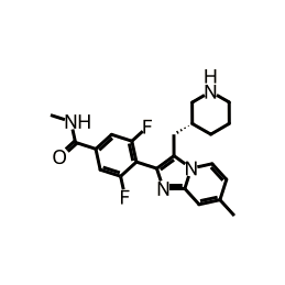 CNC(=O)c1cc(F)c(-c2nc3cc(C)ccn3c2C[C@H]2CCCNC2)c(F)c1